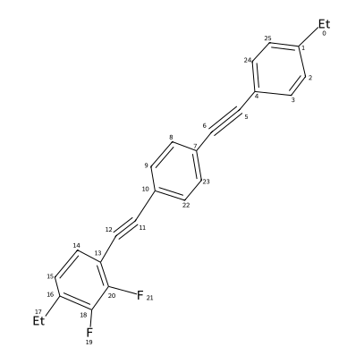 CCc1ccc(C#Cc2ccc(C#Cc3ccc(CC)c(F)c3F)cc2)cc1